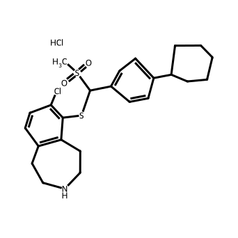 CS(=O)(=O)C(Sc1c(Cl)ccc2c1CCNCC2)c1ccc(C2CCCCC2)cc1.Cl